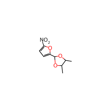 CC1OC(c2ccc([N+](=O)[O-])o2)OC1C